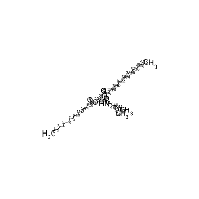 CCCCCCCCC=CCCCCCCCC(=O)OCC(COC(=O)CCCCCCCC=CCCCCCCCC)OC(=O)NCCCN(CC)CC